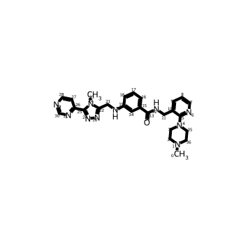 CN1CCN(c2ncccc2CNC(=O)c2cccc(NCc3nnc(-c4ccncn4)n3C)c2)CC1